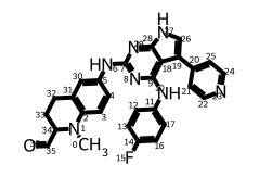 CN1c2ccc(Nc3nc(Nc4ccc(F)cc4)c4c(-c5ccncc5)c[nH]c4n3)cc2CCC1C=O